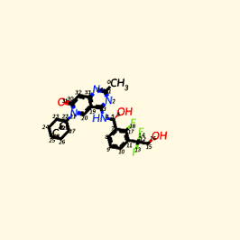 Cc1nc(N[C@H](O)c2cccc(C(F)(F)CO)c2F)c2cn(C34CCC(CC3)CC4)c(=O)cc2n1